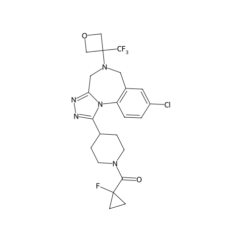 O=C(N1CCC(c2nnc3n2-c2ccc(Cl)cc2CN(C2(C(F)(F)F)COC2)C3)CC1)C1(F)CC1